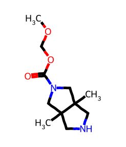 COCOC(=O)N1CC2(C)CNCC2(C)C1